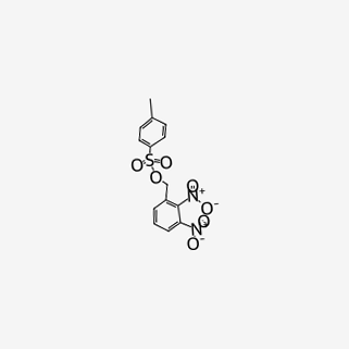 Cc1ccc(S(=O)(=O)OCc2cccc([N+](=O)[O-])c2[N+](=O)[O-])cc1